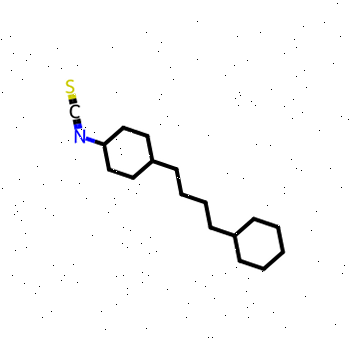 S=C=NC1CCC(CCCCC2CCCCC2)CC1